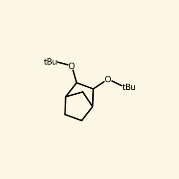 CC(C)(C)OC1C2CCC(C2)C1OC(C)(C)C